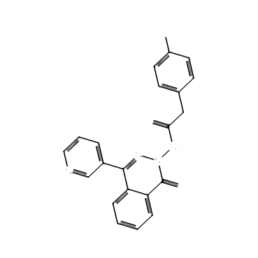 O=C(Cc1ccc(Cl)cc1)Nn1nc(-c2cccnc2)c2ccccc2c1=O